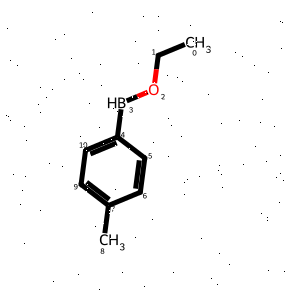 CCOBc1ccc(C)cc1